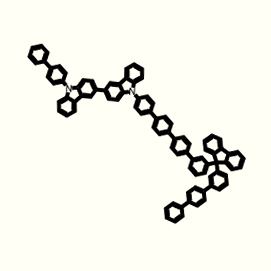 c1ccc(-c2ccc(-c3cccc(C4(c5cccc(-c6ccc(-c7ccc(-c8ccc(-n9c%10ccccc%10c%10cc(-c%11ccc%12c(c%11)c%11ccccc%11n%12-c%11ccc(-c%12ccccc%12)cc%11)ccc%109)cc8)cc7)cc6)c5)c5ccccc5-c5ccccc54)c3)cc2)cc1